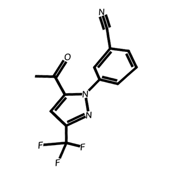 CC(=O)c1cc(C(F)(F)F)nn1-c1cccc(C#N)c1